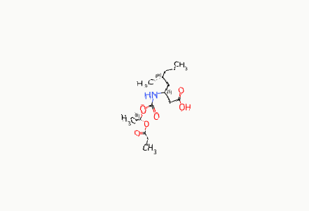 CCC[C@@H](C)C[C@@H](CC(=O)O)NC(=O)O[C@H](C)OC(=O)CC